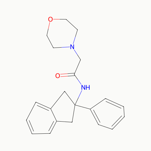 O=C(CN1CCOCC1)NC1(c2ccccc2)Cc2ccccc2C1